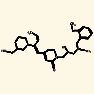 C/C=C\C(=C/C1=CC(=O)N(CC(O)CN(C)Cc2ccccc2CC)CC1)N1CCCC(CO)C1